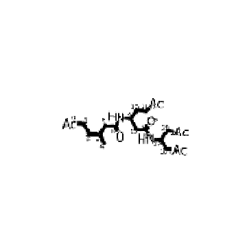 CC(=O)CCC(C)CC(=O)NC(CCC(C)=O)CC(=O)NC(CC(C)=O)CC(C)=O